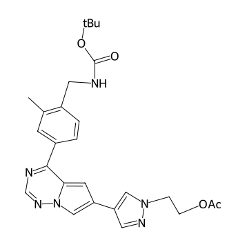 CC(=O)OCCn1cc(-c2cc3c(-c4ccc(CNC(=O)OC(C)(C)C)c(C)c4)ncnn3c2)cn1